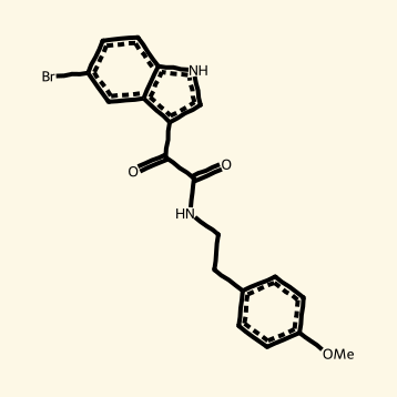 COc1ccc(CCNC(=O)C(=O)c2c[nH]c3ccc(Br)cc23)cc1